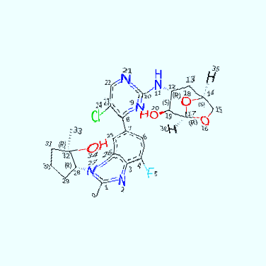 Cc1nc2c(F)cc(-c3nc(N[C@@H]4C[C@H]5CO[C@H](O5)[C@H]4O)ncc3Cl)cc2n1[C@@H]1CCC[C@@]1(C)O